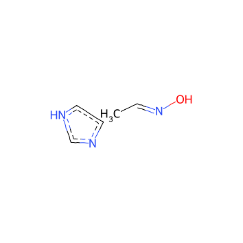 CC=NO.c1c[nH]cn1